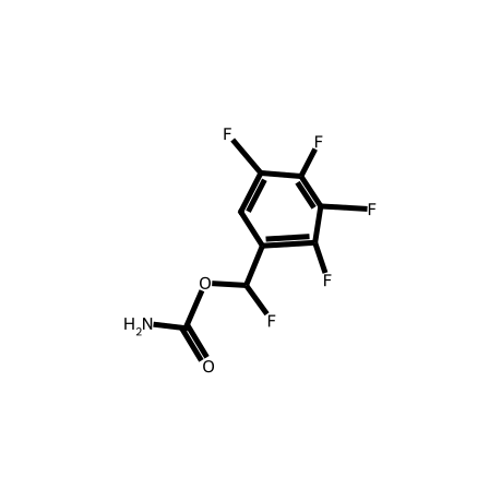 NC(=O)OC(F)c1cc(F)c(F)c(F)c1F